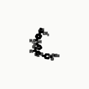 Cc1ncsc1-c1ccc(C(C)NC(=O)C2CCCN2C(=O)C(c2cc(OCC3CCN(C(=O)OC(C)(C)C)CC3)no2)C(C)C)cc1